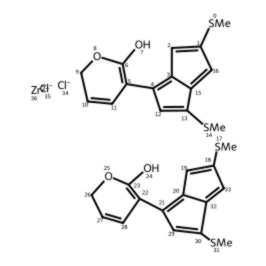 CSC1=CC2=C(C3=C(O)OCC=C3)C=C(SC)C2=C1.CSC1=CC2=C(C3=C(O)OCC=C3)C=C(SC)C2=C1.[Cl-].[Cl-].[Zr+2]